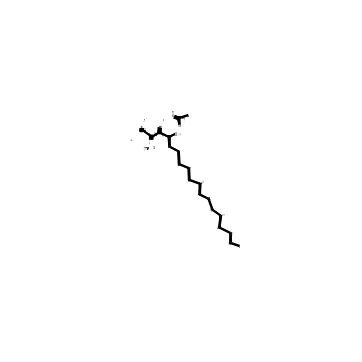 CCCCCCCCCCCCCCC(OC(C)=O)C(=O)C(=NO)C(=O)O